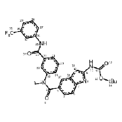 CN(C(=O)c1ccc2nc(NC(=O)OC(C)(C)C)sc2c1)c1cccc(C(=O)Nc2cccc(C(F)(F)F)c2)c1